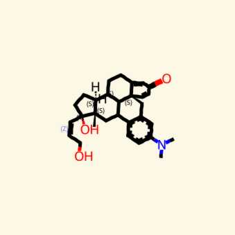 CN(C)c1ccc2c(c1)C[C@]13C=CC(=O)C=C1CC[C@@H]1C3C2C[C@@]2(C)[C@H]1CC[C@@]2(O)/C=C\CO